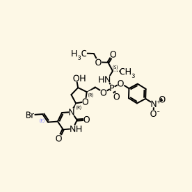 CCOC(=O)[C@H](C)NP(=O)(OC[C@H]1O[C@@H](n2cc(/C=C/Br)c(=O)[nH]c2=O)CC1O)Oc1ccc([N+](=O)[O-])cc1